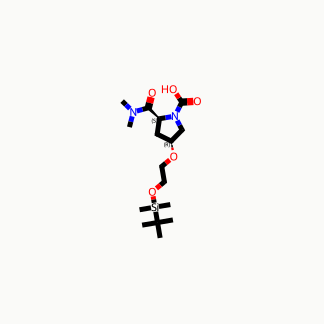 CN(C)C(=O)[C@@H]1C[C@@H](OCCO[Si](C)(C)C(C)(C)C)CN1C(=O)O